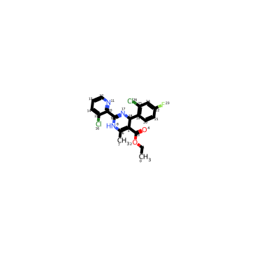 CCOC(=O)C1=C(C)NC(c2ncccc2Cl)=NC1c1ccc(F)cc1Cl